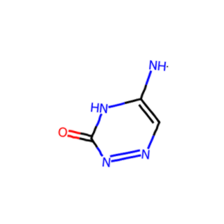 [NH]c1cnnc(=O)[nH]1